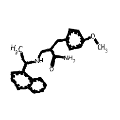 COc1ccc(CC(CNC(C)c2cccc3ccccc23)C(N)=O)cc1